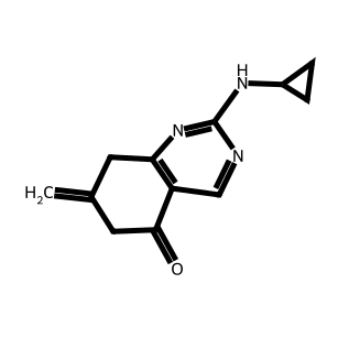 C=C1CC(=O)c2cnc(NC3CC3)nc2C1